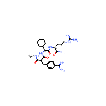 CNC(=O)C(Cc1ccc(C(=N)N)cc1)C(=O)N[C@H](C(=O)N[C@@H](CCCNC(=N)N)C(N)=O)C1CCCCC1